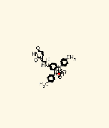 Cc1ccc(N(c2ccc(NC(=O)Cn3ccc(=O)[nH]c3=O)cc2N(c2ccc(C)cc2)[SH](=O)=O)[SH](=O)=O)cc1